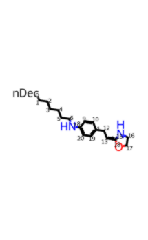 CCCCCCCCCCCCCCCCNc1ccc(CC=C2NCCO2)cc1